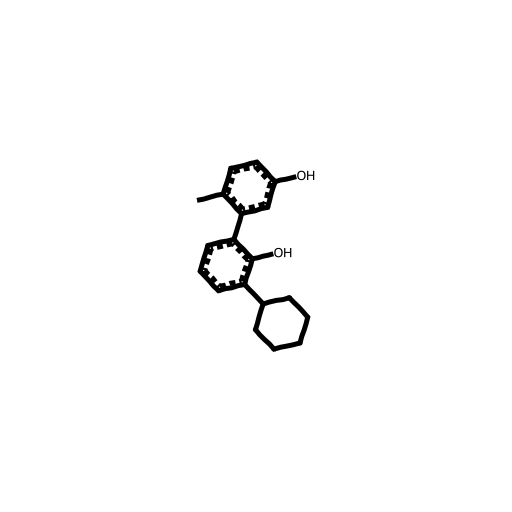 Cc1ccc(O)cc1-c1cccc(C2CCCCC2)c1O